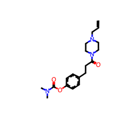 C=CCN1CCN(C(=O)CCc2ccc(OC(=O)N(C)C)cc2)CC1